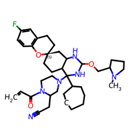 C=CC(=O)N1CCN(C2(C3CCCCCC3)NC(OCC3CCCN3C)NC3C[C@@]4(CCc5cc(F)ccc5O4)CCC32)CC1CC#N